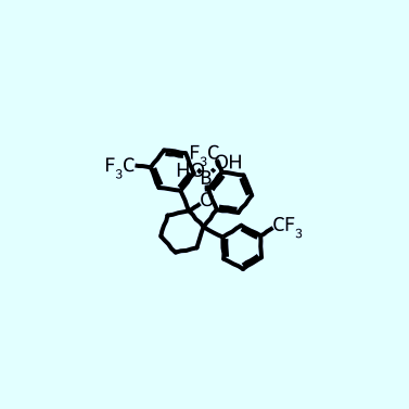 OB(O)OC1(c2cccc(C(F)(F)F)c2)CCCCC1(c1cccc(C(F)(F)F)c1)c1cccc(C(F)(F)F)c1